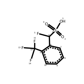 O=S(=O)(O)C(F)c1[c]cccc1C(F)(F)F